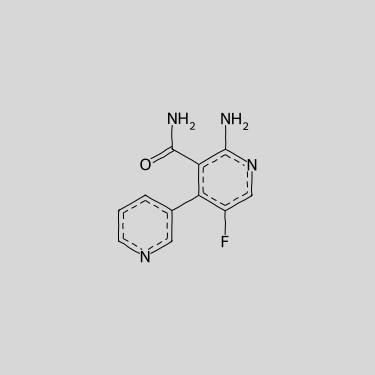 NC(=O)c1c(N)ncc(F)c1-c1cccnc1